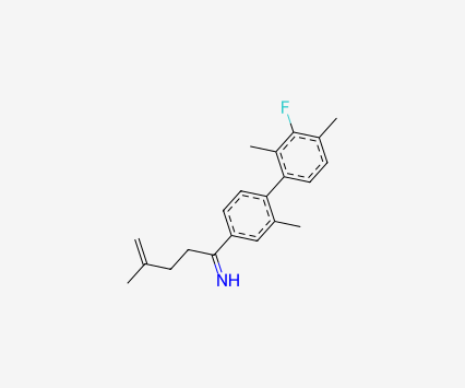 C=C(C)CCC(=N)c1ccc(-c2ccc(C)c(F)c2C)c(C)c1